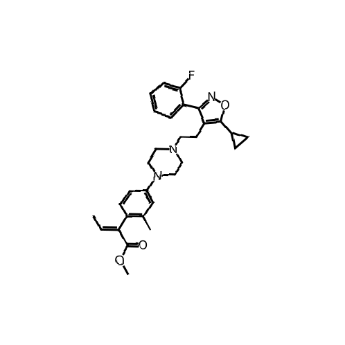 C/C=C(/C(=O)OC)c1ccc(N2CCN(CCc3c(-c4ccccc4F)noc3C3CC3)CC2)cc1C